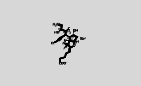 C=C[C@H](O)[C@@H](C)C(C#CCC)[C@@H]1[C@@H]2[C@H](C[C@H]1O)OC(=CCCCC(=O)[O-])C2(F)F.[Na+]